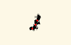 COc1cc(C(=O)N2CC3CCC2C3N)cc2nc(-c3cc4ccc(-c5ccc6c(c5)NC(=O)CO6)nc4n3CC3CC3)n(C)c12